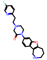 O=C1CN(CCc2ccc(F)cn2)CCN1c1ccc2c3c(oc2c1)CCCNC3